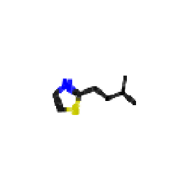 CC(C)CCc1nccs1